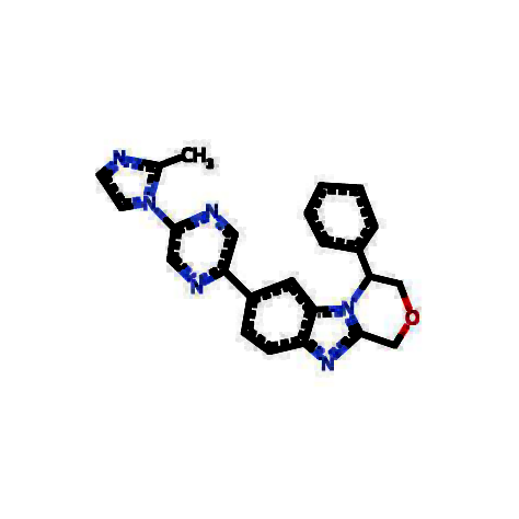 Cc1nccn1-c1cnc(-c2ccc3nc4n(c3c2)C(c2ccccc2)COC4)cn1